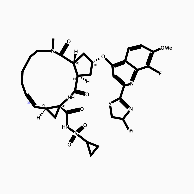 COc1ccc2c(O[C@@H]3C[C@H]4C(=O)N[C@]5(C(=O)NS(=O)(=O)C6CC6)C[C@H]5/C=C\CCCCN(C)C(=O)[C@@H]4C3)cc(C3=NC(C(C)C)CS3)nc2c1F